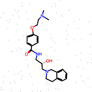 CN(C)CCOc1ccc(C(=O)NC[C@H](O)CN2CCc3ccccc3C2)cc1